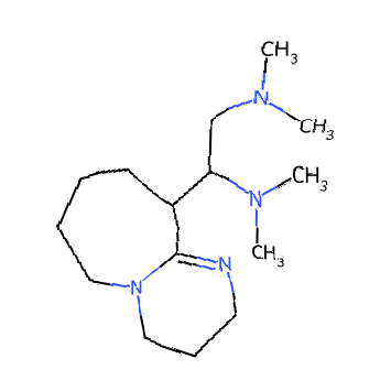 CN(C)CC(C1CCCCN2CCCN=C12)N(C)C